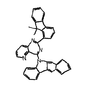 CC1(C)c2ccccc2-c2cccc(-c3nc(-n4c5ccccc5c5cc6ccccc6cc54)c4ncccc4n3)c21